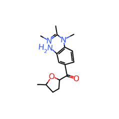 CN=C(C)N(C)c1ccc(C(=O)C2CCC(C)O2)cc1N